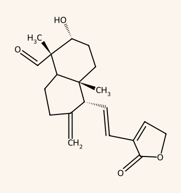 C=C1CCC2[C@](C)(C=O)[C@H](O)CC[C@]2(C)[C@@H]1/C=C/C1=CCOC1=O